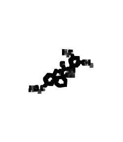 Cc1cc(C)cc(NC(=O)N(Cc2ccc(C(=O)O)cc2)C2(C(C)(C)C)CCCCC2)c1